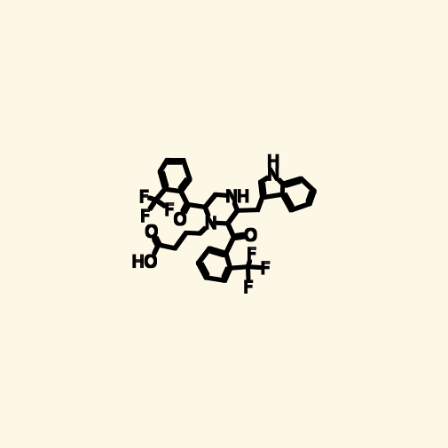 O=C(O)CCCN1C(C(=O)c2ccccc2C(F)(F)F)CNC(Cc2c[nH]c3ccccc23)C1C(=O)c1ccccc1C(F)(F)F